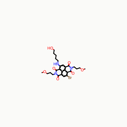 COCCCN1C(=O)c2cc(NCCCCCO)c3c4c(cc(Br)c(c24)C1=O)C(=O)N(CCCOC)C3=O